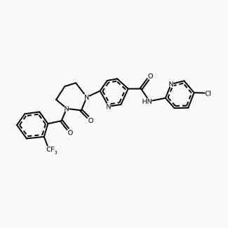 O=C(Nc1ccc(Cl)cn1)c1ccc(N2CCCN(C(=O)c3ccccc3C(F)(F)F)C2=O)nc1